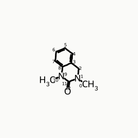 CN1Cc2ccccc2N(C)C1=O